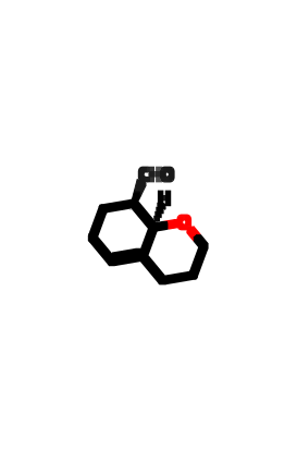 O=C[C@@H]1CCC=C2CCCO[C@@H]21